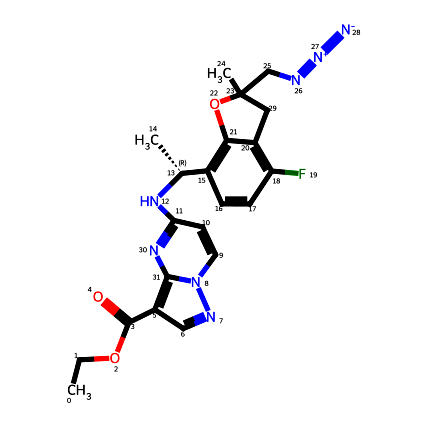 CCOC(=O)c1cnn2ccc(N[C@H](C)c3ccc(F)c4c3OC(C)(CN=[N+]=[N-])C4)nc12